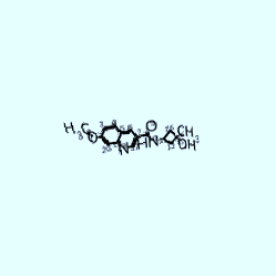 COc1ccc2cc(C(=O)N[C@H]3C[C@](C)(O)C3)cnc2c1